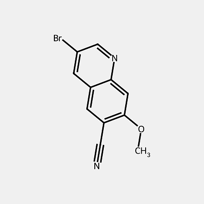 COc1cc2ncc(Br)cc2cc1C#N